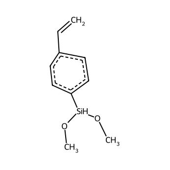 C=Cc1ccc([SiH](OC)OC)cc1